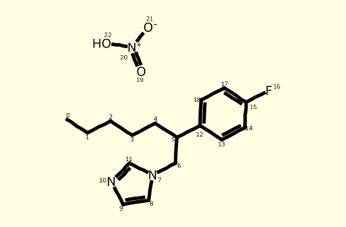 CCCCCC(Cn1ccnc1)c1ccc(F)cc1.O=[N+]([O-])O